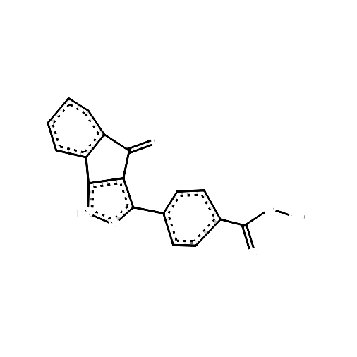 CCCCOC(=O)c1ccc(-c2n[nH]c3c2C(=O)c2ccccc2-3)cc1